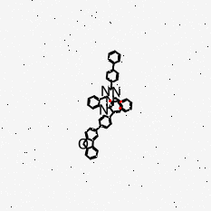 c1ccc(-c2ccc(-c3nc(-c4ccccc4)nc(-c4ccccc4-n4c5ccccc5c5ccc(-c6ccc7oc8ccccc8c7c6)cc54)n3)cc2)cc1